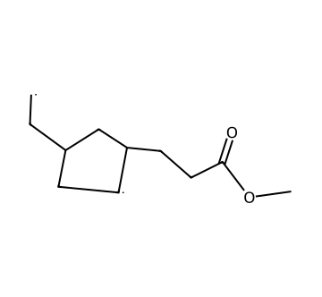 [CH2]CC1C[CH]C(CCC(=O)OC)C1